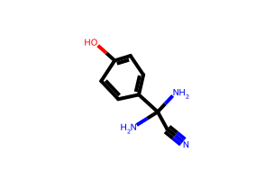 N#CC(N)(N)c1ccc(O)cc1